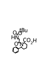 CC(C)(C)OC(=O)NCC(=O)N1C(C(=O)O)CCCC1c1ccccc1